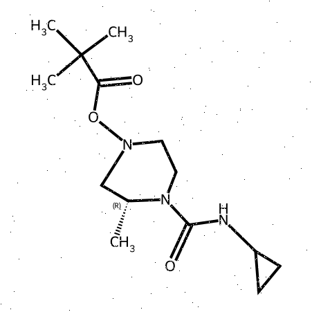 C[C@@H]1CN(OC(=O)C(C)(C)C)CCN1C(=O)NC1CC1